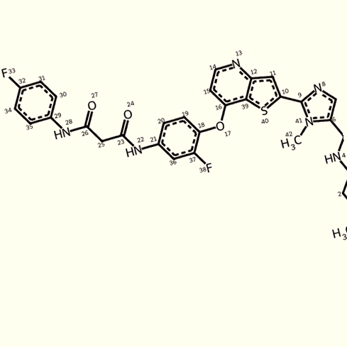 COCCNCc1cnc(-c2cc3nccc(Oc4ccc(NC(=O)CC(=O)Nc5ccc(F)cc5)cc4F)c3s2)n1C